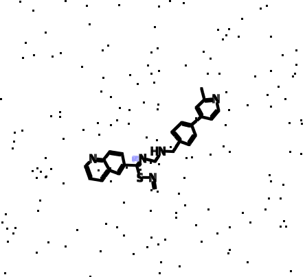 C=NS/C(=N\CNCc1ccc(-c2ccnc(C)c2)cc1)c1ccc2ncccc2c1